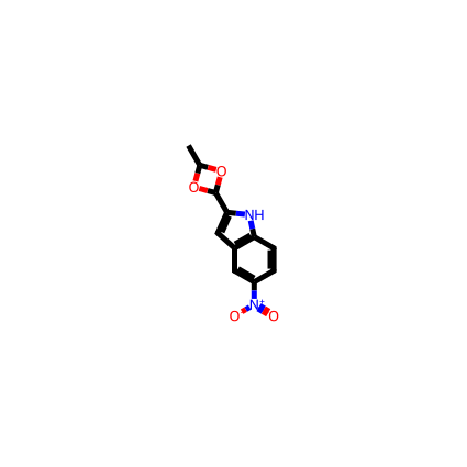 CC1OC(c2cc3cc([N+](=O)[O-])ccc3[nH]2)O1